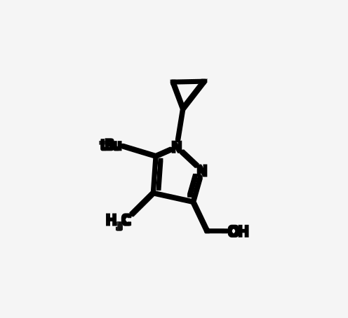 Cc1c(CO)nn(C2CC2)c1C(C)(C)C